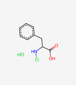 Cl.O=C(O)C(Cc1ccccc1)NCl